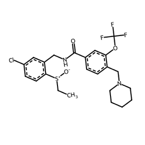 CC[S+]([O-])c1ccc(Cl)cc1CNC(=O)c1ccc(CN2CCCCC2)c(OC(F)(F)F)c1